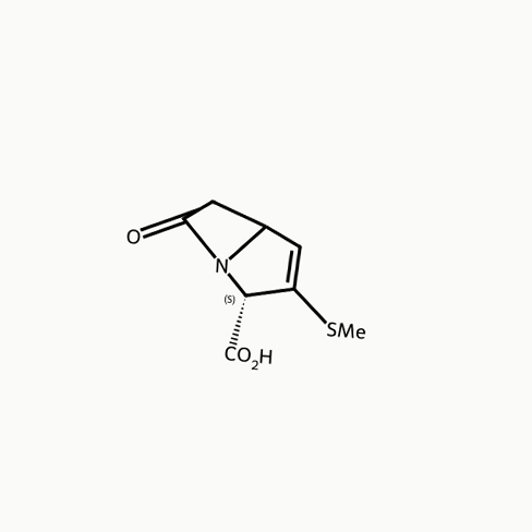 CSC1=CC2CC(=O)N2[C@H]1C(=O)O